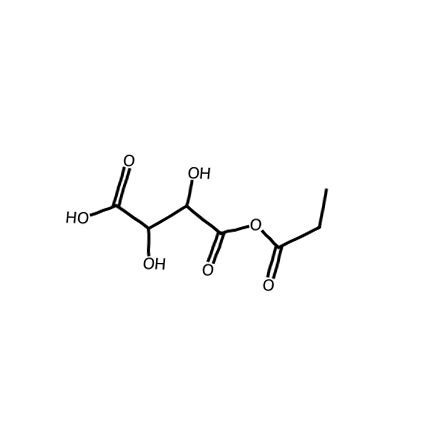 CCC(=O)OC(=O)C(O)C(O)C(=O)O